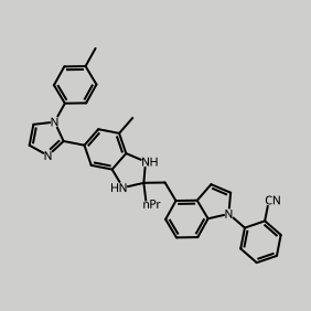 CCCC1(Cc2cccc3c2ccn3-c2ccccc2C#N)Nc2cc(-c3nccn3-c3ccc(C)cc3)cc(C)c2N1